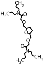 CCCN(CCC)C(=O)COCC1CCC(COCC(=O)N(CCC)CCC)O1